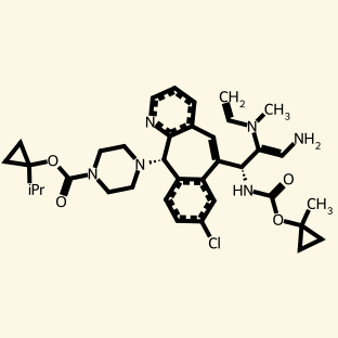 C=CN(C)/C(=C\N)[C@H](NC(=O)OC1(C)CC1)C1=Cc2cccnc2[C@@H](N2CCN(C(=O)OC3(C(C)C)CC3)CC2)c2ccc(Cl)cc21